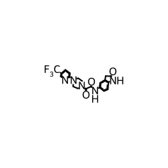 O=C1Cc2cc(NC(=O)C(=O)N3CCN(c4ccc(C(F)(F)F)cn4)CC3)ccc2N1